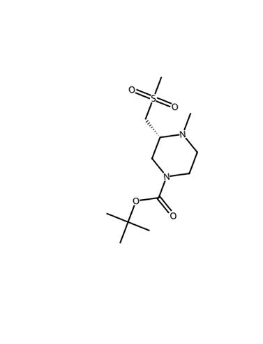 CN1CCN(C(=O)OC(C)(C)C)C[C@@H]1CS(C)(=O)=O